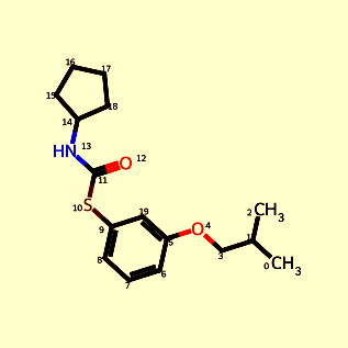 CC(C)COc1cccc(SC(=O)NC2CCCC2)c1